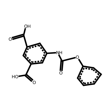 O=C(Nc1cc(C(=O)O)cc(C(=O)O)c1)Oc1ccccc1